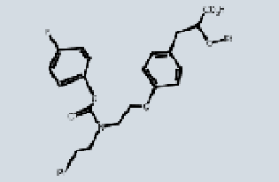 CCOC(Cc1ccc(OCCN(CCC(C)C)C(=O)Oc2ccc(F)cc2)cc1)C(=O)O